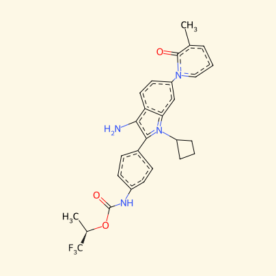 Cc1cccn(-c2ccc3c(N)c(-c4ccc(NC(=O)O[C@H](C)C(F)(F)F)cc4)n(C4CCC4)c3c2)c1=O